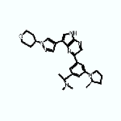 CC(c1cc(-c2cnc3[nH]cc(-c4cnn(C5CCOCC5)c4)c3n2)cc(N2CCC[C@H]2C)c1)N(C)C